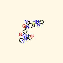 O=C(Nc1ccc(C(=O)N2CCc3cc(-c4nc5ccccc5[nH]4)sc3-c3ccncc32)cc1)c1cccnc1N1CC2(CCOCC2)C1